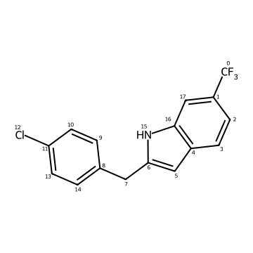 FC(F)(F)c1ccc2cc(Cc3ccc(Cl)cc3)[nH]c2c1